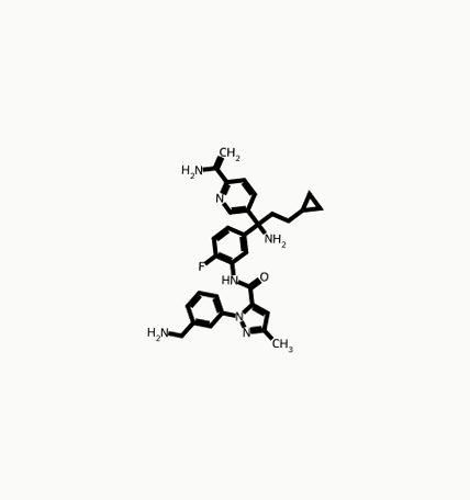 C=C(N)c1ccc(C(N)(CCC2CC2)c2ccc(F)c(NC(=O)c3cc(C)nn3-c3cccc(CN)c3)c2)cn1